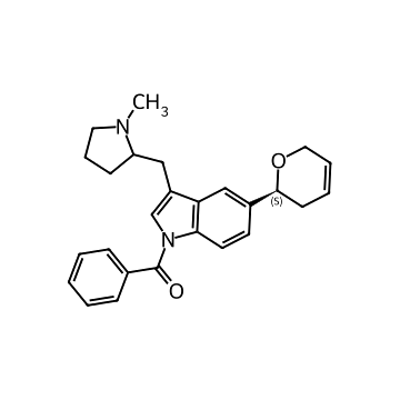 CN1CCCC1Cc1cn(C(=O)c2ccccc2)c2ccc([C@@H]3CC=CCO3)cc12